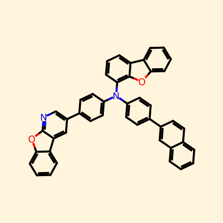 c1ccc2cc(-c3ccc(N(c4ccc(-c5cnc6oc7ccccc7c6c5)cc4)c4cccc5c4oc4ccccc45)cc3)ccc2c1